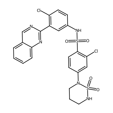 O=S(=O)(Nc1ccc(Cl)c(-c2ncc3ccccc3n2)c1)c1ccc(N2CCCNS2(=O)=O)cc1Cl